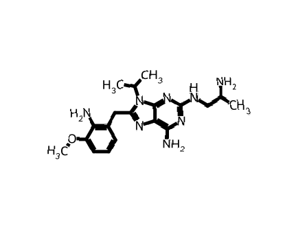 COc1cccc(Cc2nc3c(N)nc(NCC(C)N)nc3n2C(C)C)c1N